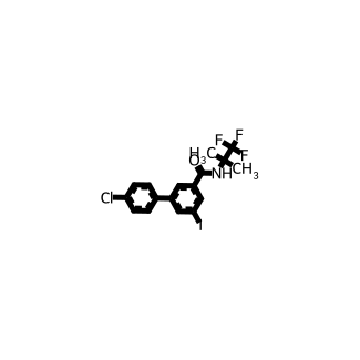 CC(C)(NC(=O)c1cc(I)cc(-c2ccc(Cl)cc2)c1)C(F)(F)F